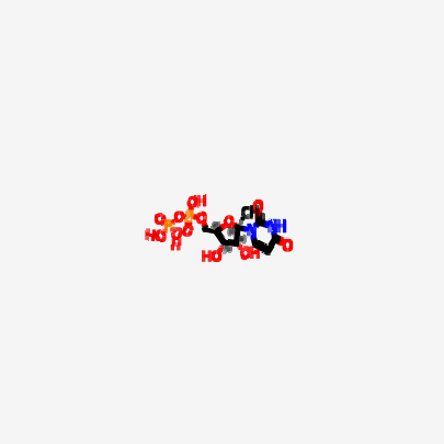 C[C@@]1(n2ccc(=O)[nH]c2=O)O[C@H](COP(=O)(O)OP(=O)(O)O)[C@@H](O)[C@H]1O